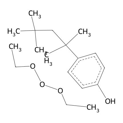 CC(C)(C)CC(C)(C)c1ccc(O)cc1.CCOOOCC